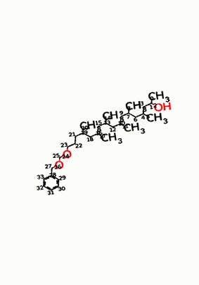 CC(O)CC(C)CC(C)CC(C)CC(C)CC(C)CC(C)CCCOCOCc1ccccc1